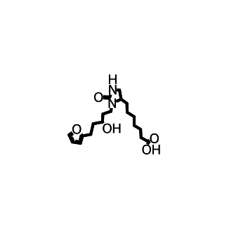 O=C(O)CCCCCCC1CNC(=O)N1CCC(O)CCc1ccco1